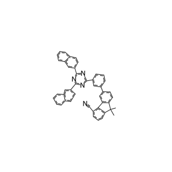 CC1(C)c2ccc(-c3cccc(-c4nc(-c5ccc6ccccc6c5)nc(-c5ccc6ccccc6c5)n4)c3)cc2-c2c(C#N)cccc21